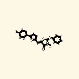 Cc1ccc(-c2ccc(/C=C3\S/C(=N/c4ccccc4)N(C)C3=O)s2)cc1